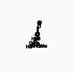 COCOC[C@H](C[C@H](C)C(=O)NO)NC(=O)c1ccc(C#CCOc2ccccc2)cc1